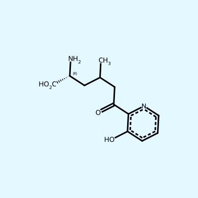 CC(CC(=O)c1ncccc1O)C[C@@H](N)C(=O)O